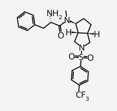 CN(C(=O)[C@@H](N)Cc1ccccc1)[C@H]1CC[C@@H]2CN(S(=O)(=O)c3ccc(C(F)(F)F)cc3)C[C@@H]21